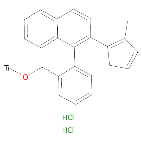 CC1=C(c2ccc3ccccc3c2-c2ccccc2C[O][Ti])CC=C1.Cl.Cl